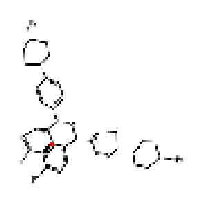 CCC[C@H]1CC[C@H](c2ccc(C(OC(c3ccc(F)cc3)c3ccc([C@H]4CC[C@H](CCC)CC4)cc3)c3ccc(F)cc3)cc2)CC1